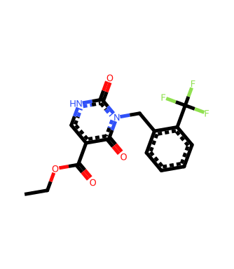 CCOC(=O)c1c[nH]c(=O)n(Cc2ccccc2C(F)(F)F)c1=O